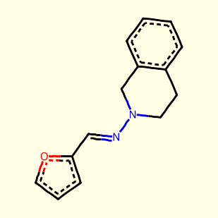 C(=NN1CCc2ccccc2C1)c1ccco1